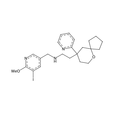 COc1ncc(CNCCC2(c3ccccn3)CCOC3(CCCC3)C2)cc1I